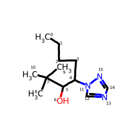 CCCCC(C(O)C(C)(C)C)n1cncn1